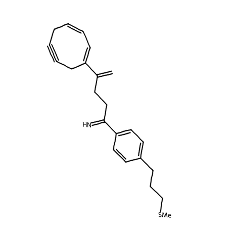 C=C(CCC(=N)c1ccc(CCCSC)cc1)/C1=C/C=C\CC#CC1